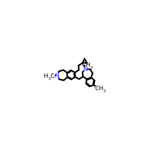 Cc1ccc2c(c1)CCN(C)CC2Cc1cc2c(cc1CCC1CC1)CCN(C)CC2